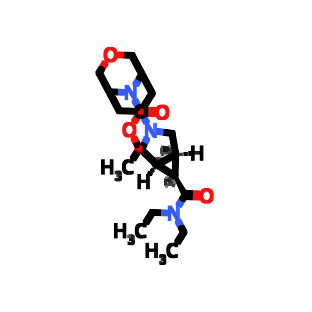 CCOC(=O)N1C2COCC1CC(N1C[C@@H]3[C@H](C1)[C@@H]3C(=O)N(CC)CC)C2